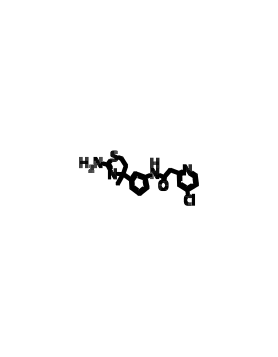 CC1(c2cccc(NC(=O)Cc3cc(Cl)ccn3)c2)CCSC(N)=N1